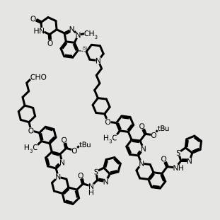 Cc1c(OC2CCC(CCCC=O)CC2)cccc1-c1ccc(N2CCc3cccc(C(=O)Nc4nc5ccccc5s4)c3C2)nc1C(=O)OC(C)(C)C.Cc1c(OC2CCC(CCCCN3CCC[C@@H](c4cccc5c(C6CCC(=O)NC6=O)nn(C)c45)C3)CC2)cccc1-c1ccc(N2CCc3cccc(C(=O)Nc4nc5ccccc5s4)c3C2)nc1C(=O)OC(C)(C)C